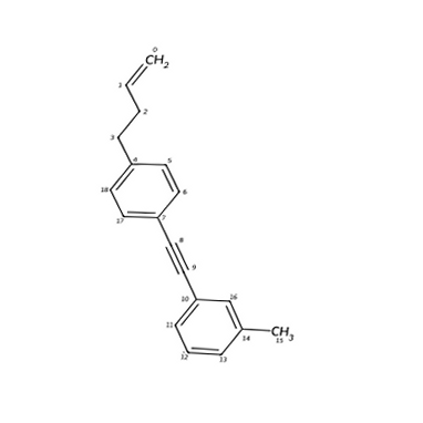 C=CCCc1ccc(C#Cc2c[c]cc(C)c2)cc1